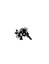 CCCCN1CSc2c1cc1c(c(O)c(N(CC)CC)c(=O)n1C1CC1)c2[N+](=O)[O-]